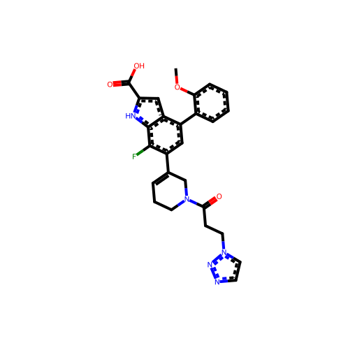 COc1ccccc1-c1cc(C2=CCCN(C(=O)CCn3ccnn3)C2)c(F)c2[nH]c(C(=O)O)cc12